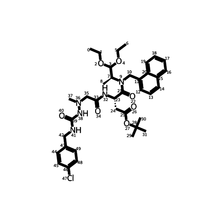 CCOC(OCC)[C@H](C)N(Cc1cccc2ccccc12)C(=O)[C@H](CC(=O)OC(C)(C)C)NC(=O)CN(C)NC(=O)NCc1ccc(Cl)cc1